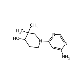 CC1(C)CN(c2cc(N)ncn2)CCC1O